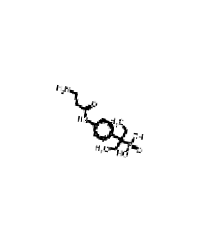 CCC(CC)(c1ccc(NC(=O)CCN)cc1)P(=O)(O)O